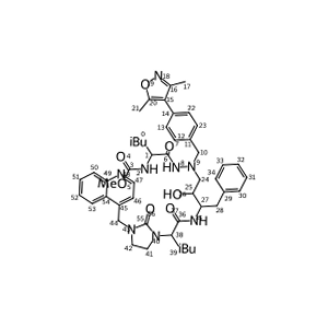 CCC(C)C(NC(=O)OC)C(=O)NN(Cc1ccc(-c2c(C)noc2C)cc1)CC(O)C(Cc1ccccc1)NC(=O)C(C(C)CC)N1CCN(Cc2ccnc3ccccc23)C1=O